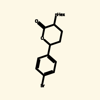 CCCCCCC1CCC(c2ccc(Br)cc2)OC1=O